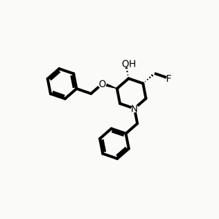 O[C@@H]1[C@H](CF)CN(Cc2ccccc2)C[C@H]1OCc1ccccc1